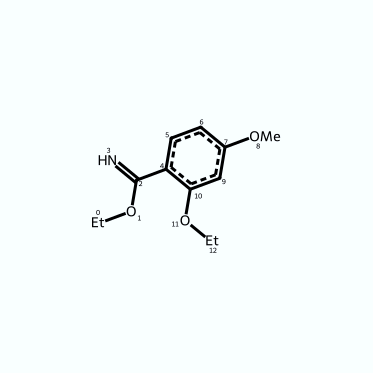 CCOC(=N)c1ccc(OC)cc1OCC